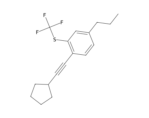 CCCc1ccc(C#CC2CCCC2)c(SC(F)(F)F)c1